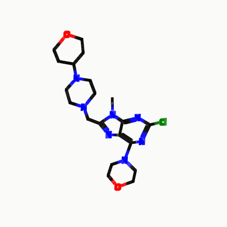 Cn1c(CN2CCN(C3CCOCC3)CC2)nc2c(N3CCOCC3)nc(Cl)nc21